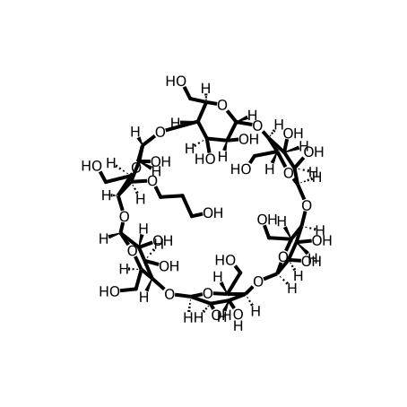 OCCCO[C@@H]1[C@@H](O)[C@H]2O[C@H]3[C@H](O)[C@@H](O)[C@@H](O[C@H]4[C@H](O)[C@@H](O)[C@@H](O[C@H]5[C@H](O)[C@@H](O)[C@@H](O[C@H]6[C@H](O)[C@@H](O)[C@@H](O[C@H]7[C@H](O)[C@@H](O)[C@@H](O[C@H]1[C@@H](CO)O2)O[C@@H]7CO)O[C@@H]6CO)O[C@@H]5CO)O[C@@H]4CO)O[C@@H]3CO